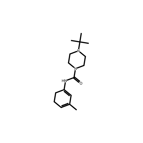 CC1=CCCC(NC(=O)N2CCN(C(C)(C)C)CC2)=C1